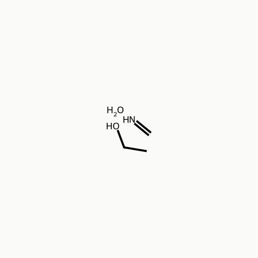 C=N.CCO.O